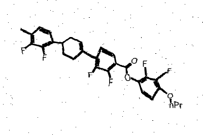 CCCOc1ccc(OC(=O)c2ccc(C3=CCC(c4ccc(C)c(F)c4F)CC3)c(F)c2F)c(F)c1F